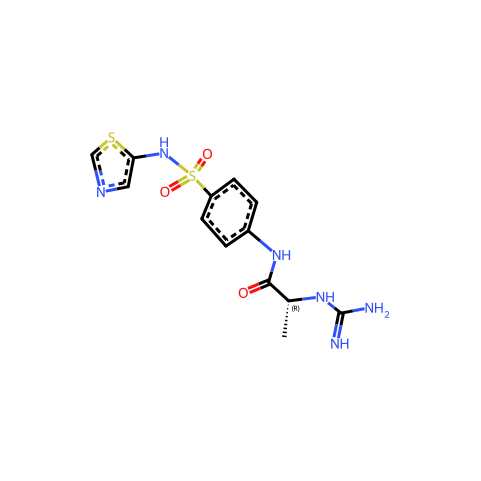 C[C@@H](NC(=N)N)C(=O)Nc1ccc(S(=O)(=O)Nc2cncs2)cc1